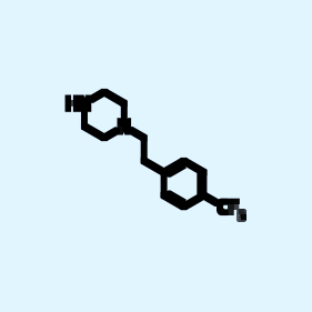 FC(F)(F)c1ccc(CCN2CCNCC2)cc1